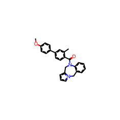 COc1ccc(-c2ccc(C(=O)N3Cc4cccn4Cc4ccccc43)c(C)c2)cc1